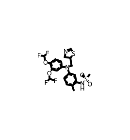 Cc1ccc(N(CC2CN=CS2)c2ccc(OC(F)F)c(OC(F)F)c2)cc1NS(C)(=O)=O